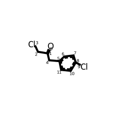 O=C(CCl)Cc1ccc(Cl)cc1